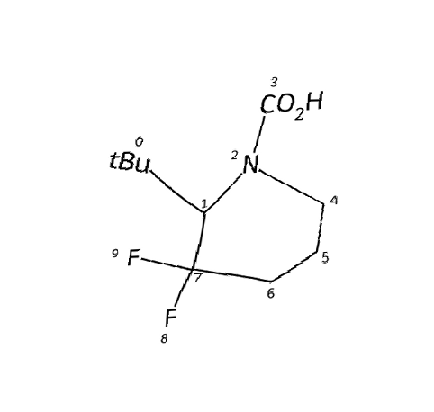 CC(C)(C)C1N(C(=O)O)CCCC1(F)F